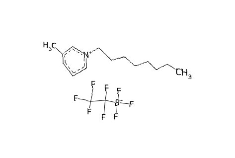 CCCCCCCC[n+]1cccc(C)c1.F[B-](F)(F)C(F)(F)C(F)(F)F